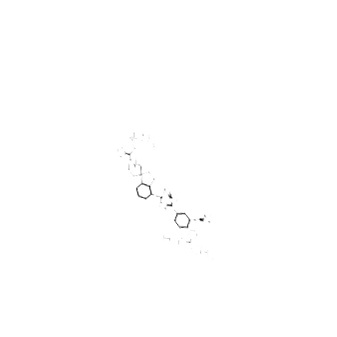 CSCC(=O)N1CCC2(CCc3c(-c4noc(-c5ccc(OC(C)C)c(C#N)c5)n4)cccc32)C1